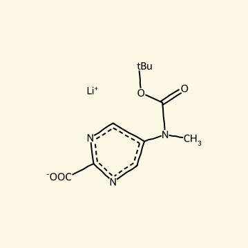 CN(C(=O)OC(C)(C)C)c1cnc(C(=O)[O-])nc1.[Li+]